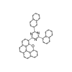 c1ccc2cc(-c3nc(-c4ccc5ccc6ccc7cccc8c7c6c5c4O8)nc(-c4cccc5ccccc45)n3)ccc2c1